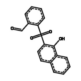 O=Cc1ccccc1S(=O)(=O)c1ccc2ccccc2c1O